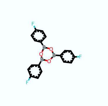 Fc1ccc(B2OB(c3ccc(F)cc3)OB(c3ccc(F)cc3)O2)cc1